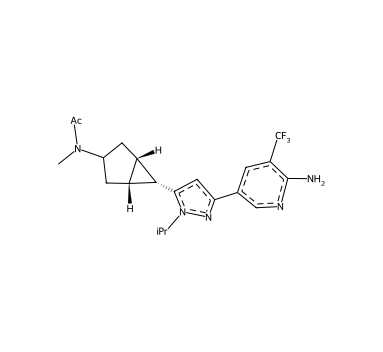 CC(=O)N(C)C1C[C@@H]2[C@H](C1)[C@@H]2c1cc(-c2cnc(N)c(C(F)(F)F)c2)nn1C(C)C